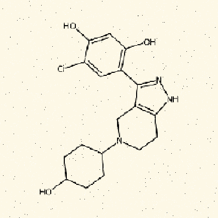 Oc1cc(O)c(-c2n[nH]c3c2CN(C2CCC(O)CC2)CC3)cc1Cl